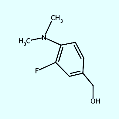 CN(C)c1ccc(CO)cc1F